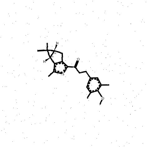 COc1c(C)cc(CCC(=O)c2sc(C)c3c2C[C@@H]2[C@H]3C2(C)C)cc1C